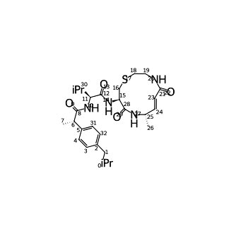 CC(C)Cc1ccc([C@H](C)C(=O)N[C@H](C(=O)N[C@H]2CSCCNC(=O)/C=C/[C@H](C)NC2=O)C(C)C)cc1